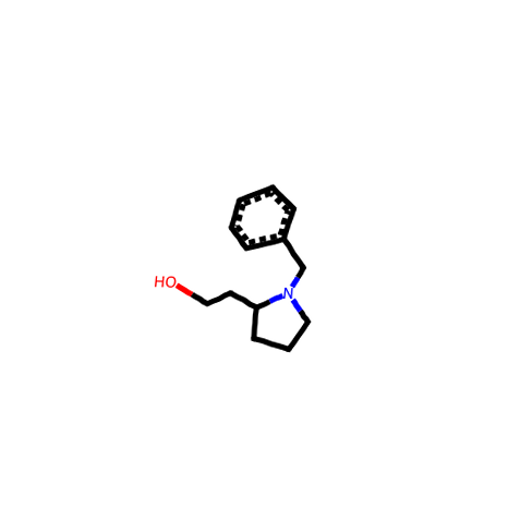 OCCC1CCCN1Cc1ccccc1